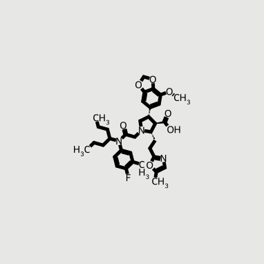 CCCC(CCC)N(C(=O)CN1C[C@H](c2cc(OC)c3c(c2)OCO3)[C@@H](C(=O)O)[C@@H]1CCc1ncc(C)o1)c1ccc(F)c(C)c1